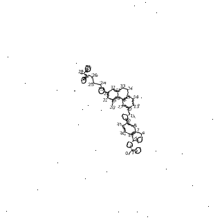 CC(=O)O[C@@H]1OCc2cc(OCc3ccc4c(c3)-c3c(C)cc(OCCCS(C)(=O)=O)cc3CC4)ccc21